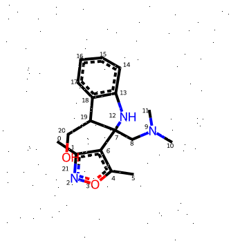 Cc1noc(C)c1C1(CN(C)C)Nc2ccccc2C1CO